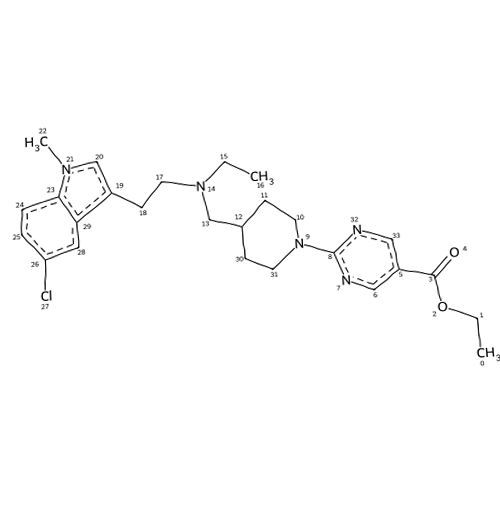 CCOC(=O)c1cnc(N2CCC(CN(CC)CCc3cn(C)c4ccc(Cl)cc34)CC2)nc1